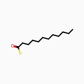 CCCCCCCCCCCC(=O)[S]